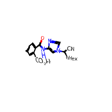 CCCCCCC(C#N)n1cnc(NC(=O)c2ccccc2C(=O)O)c1